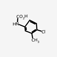 Cc1cc(NC(=O)O)ccc1Cl